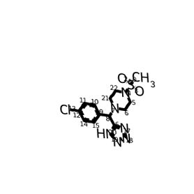 CS(=O)(=O)N1CCN(C(c2ccc(Cl)cc2)c2nnn[nH]2)CC1